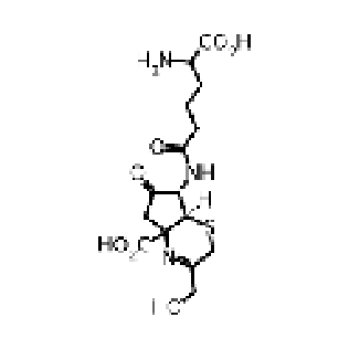 NC(CCCC(=O)N[C@@H]1C(=O)CC2(C(=O)O)N=C(CO)CS[C@H]12)C(=O)O